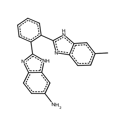 Cc1ccc2nc(-c3ccccc3-c3nc4ccc(N)cc4[nH]3)[nH]c2c1